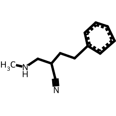 CNCC(C#N)CCc1ccccc1